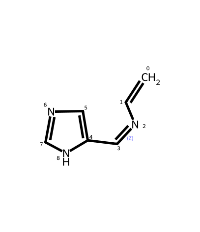 C=C/N=C\c1cnc[nH]1